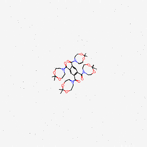 CC1(C)OCCN(C(=O)c2cc(C(=O)N3CCOC(C)(C)OCC3)c(C(=O)N3CCOC(C)(C)OCC3)cc2C(=O)N2CCOC(C)(C)OCC2)CCO1